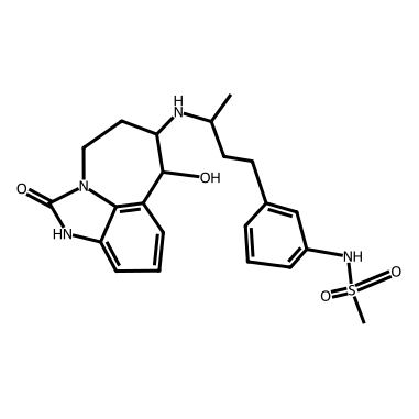 CC(CCc1cccc(NS(C)(=O)=O)c1)NC1CCn2c(=O)[nH]c3cccc(c32)C1O